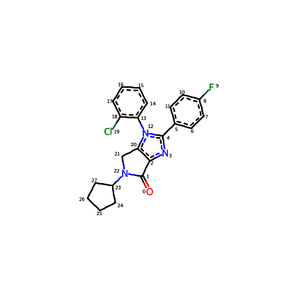 O=C1c2nc(-c3ccc(F)cc3)n(-c3ccccc3Cl)c2CN1C1CCCC1